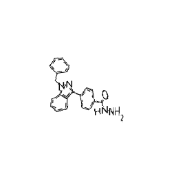 NNC(=O)c1ccc(-c2nn(Cc3ccccc3)c3ccccc23)cc1